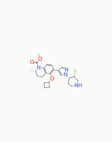 COC(=O)N1c2ccc(-c3cnn([C@H]4CCNC[C@@H]4F)c3)c(OC3CCC3)c2CC[C@@H]1C